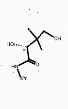 CCCNC(=O)[C@H](O)C(C)(C)CO